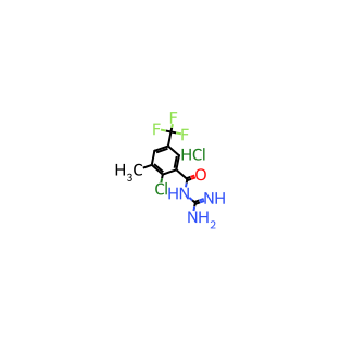 Cc1cc(C(F)(F)F)cc(C(=O)NC(=N)N)c1Cl.Cl